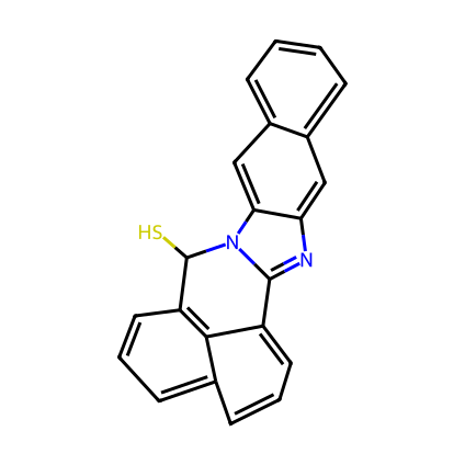 SC1c2cccc3cccc(c23)-c2nc3cc4ccccc4cc3n21